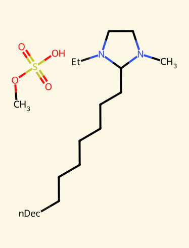 CCCCCCCCCCCCCCCCCC1N(C)CCN1CC.COS(=O)(=O)O